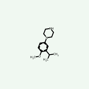 COc1ccc(N2CCNCC2)cc1C(C)C